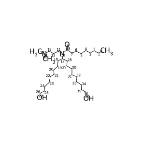 CCCCCCCCC(=O)N(CCCN(C)C)C(CCCCCCCCCO)CCCCCCCCCO